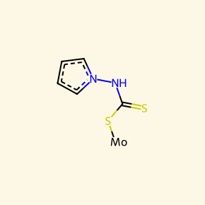 S=C(Nn1cccc1)[S][Mo]